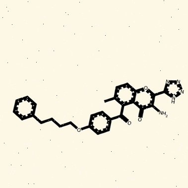 Cc1ccc2oc(-c3nnn[nH]3)c(N)c(=O)c2c1C(=O)c1ccc(OCCCCc2ccccc2)cc1